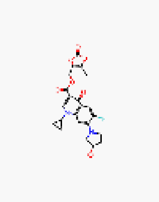 Cc1oc(=O)oc1COC(=O)c1cn(C2CC2)c2cc(N3CCC(O)C3)c(F)cc2c1=O